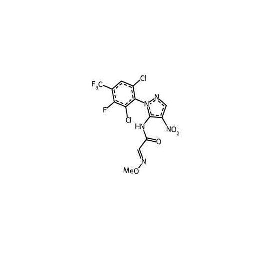 CON=CC(=O)Nc1c([N+](=O)[O-])cnn1-c1c(Cl)cc(C(F)(F)F)c(F)c1Cl